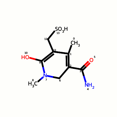 CC1=C(C(N)=O)CN(C)C(O)=C1CS(=O)(=O)O